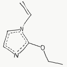 C=Cn1ccnc1OCC